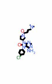 CN(C)CC=CC(=O)N1CC[C@@H](n2c(=O)n(-c3ccc(Cl)cc3)c3c(N)ncnc32)C1